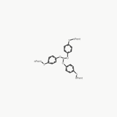 CCCCCSc1ccc(OB(Oc2ccc(SCCCCC)cc2)Oc2ccc(SCCCCC)cc2)cc1